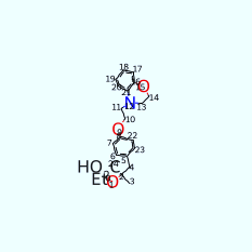 CCOC(C)(Cc1ccc(OCCN2CCOc3ccccc32)cc1)C(=O)O